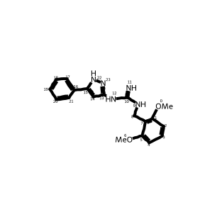 COc1cccc(OC)c1CNC(=N)Nc1cc(-c2ccccc2)[nH]n1